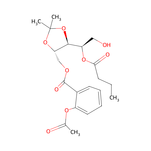 CCCC(=O)O[C@H](CO)[C@@H]1OC(C)(C)O[C@H]1COC(=O)c1ccccc1OC(C)=O